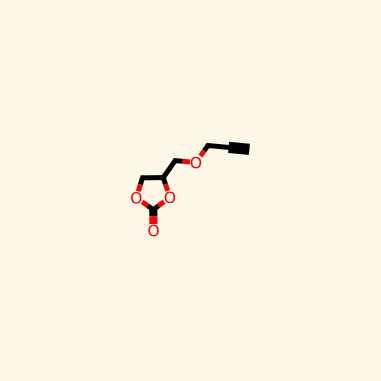 C#CCOCC1COC(=O)O1